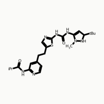 CC(C)C(=O)Nc1cc(CCc2cnc(NC(=O)NC3=CC(C(C)(C)C)NN3C)s2)ccn1